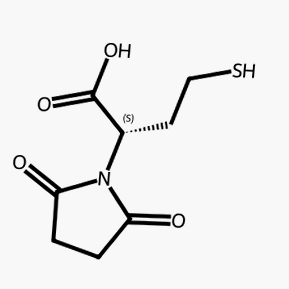 O=C(O)[C@H](CCS)N1C(=O)CCC1=O